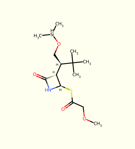 COCC(=O)S[C@H]1NC(=O)[C@@H]1[C@@H](CO[SiH](C)C)C(C)(C)C